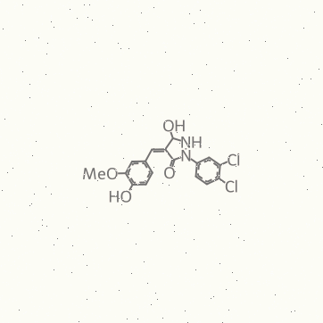 COc1cc(/C=C2\C(=O)N(c3ccc(Cl)c(Cl)c3)NC2O)ccc1O